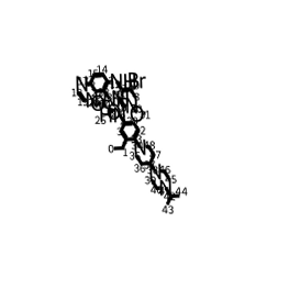 CCc1cc(Nc2ncc(Br)c(Nc3ccc4nccnc4c3NS(C)(=O)=O)n2)c(OC)cc1N1CCC(N2CCN(C(C)C)CC2)CC1